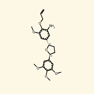 C=CCOc1c(N)cc([C@@H]2CC[C@@H](c3cc(OC)c(OC)c(OC)c3)O2)cc1OC